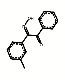 Cc1cccc(C(=NO)C(=O)c2ccccc2)c1